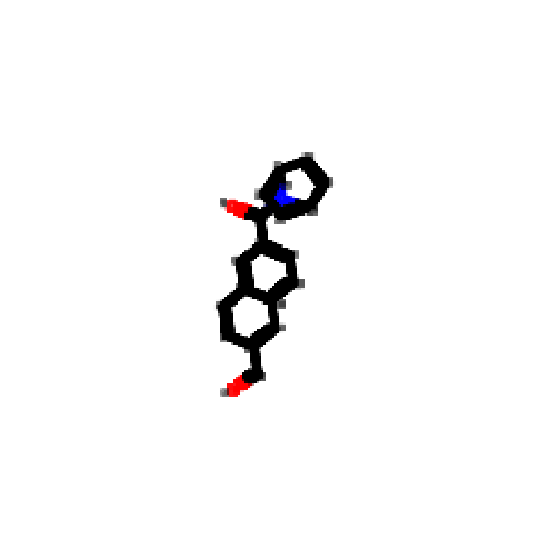 O=Cc1ccc2cc(C(=O)n3c4ccc3cc4)ccc2c1